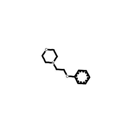 c1ccc(OCCN2CCOCC2)cc1